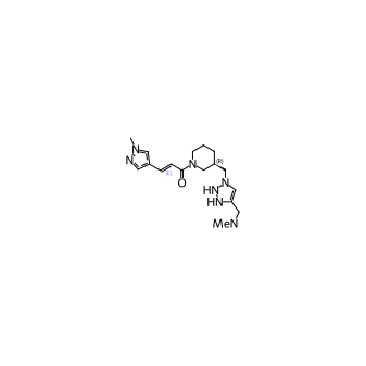 CNCC1=CN(C[C@@H]2CCCN(C(=O)/C=C/c3cnn(C)c3)C2)NN1